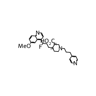 COc1ccc2nccc(C(F)CC[C@@H]3CCN(CCCc4ccncc4)C[C@@H]3C(=O)O)c2c1